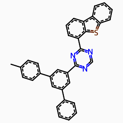 Cc1ccc(-c2cc(-c3ccccc3)cc(-c3ncnc(-c4cccc5c4sc4ccccc45)n3)c2)cc1